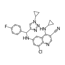 N#Cc1cnc2c(Cl)cc(NC(c3ccc(F)cc3)c3cn(C4CC4)nn3)cc2c1NC1CC1